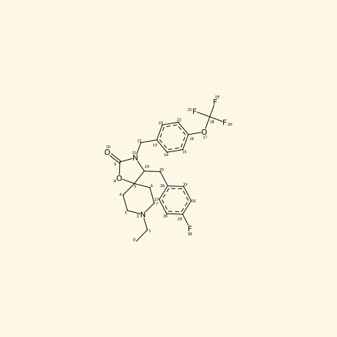 CCN1CCC2(CC1)OC(=O)N(Cc1ccc(OC(F)(F)F)cc1)C2Cc1ccc(F)cc1